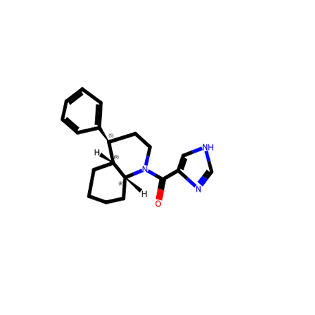 O=C(c1c[nH]cn1)N1CC[C@H](c2ccccc2)[C@H]2CCCC[C@H]21